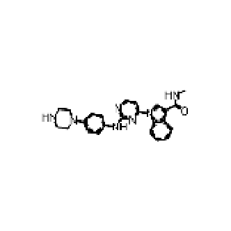 CNC(=O)c1cn(-c2ccnc(Nc3ccc(N4CCNCC4)cc3)n2)c2ccccc12